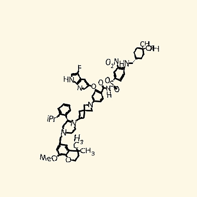 COc1cc(CN2CCN(C3CC4(C3)CN(c3ccc(C(=O)NS(=O)(=O)c5ccc(NC[C@H]6CC[C@](C)(O)CC6)c([N+](=O)[O-])c5)c(Oc5cnc6[nH]cc(F)c6c5)c3)C4)[C@H](c3ccccc3C(C)C)C2)cc2c1OCCC2(C)C